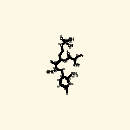 CCCC(CCC)C(=O)SC(CCOP(=O)(O)O)=C(C)N(C=O)Cc1cnc(C)nc1N